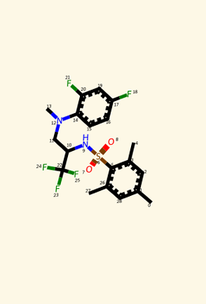 Cc1cc(C)c(S(=O)(=O)NC(CN(C)c2ccc(F)cc2F)C(F)(F)F)c(C)c1